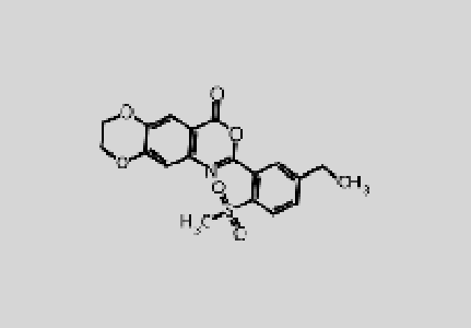 CCc1ccc(S(C)(=O)=O)c(-c2nc3cc4c(cc3c(=O)o2)OCCO4)c1